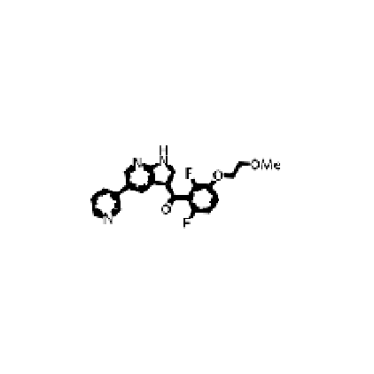 COCCOc1ccc(F)c(C(=O)C2CNc3ncc(-c4cccnc4)cc32)c1F